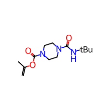 C=C(C)OC(=O)N1CCN(C(=O)NC(C)(C)C)CC1